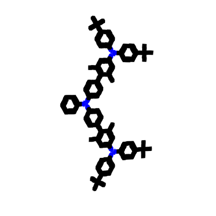 Cc1cc(N(c2ccc(C(C)(C)C)cc2)c2ccc(C(C)(C)C)cc2)cc(C)c1-c1ccc(N(c2ccccc2)c2ccc(-c3c(C)cc(N(c4ccc(C(C)(C)C)cc4)c4ccc(C(C)(C)C)cc4)cc3C)cc2)cc1